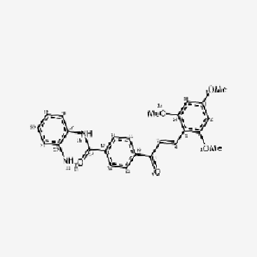 COc1cc(OC)c(C=CC(=O)c2ccc(C(=O)Nc3ccccc3N)cc2)c(OC)c1